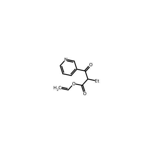 C=COC(=O)C(CC)C(=O)c1cccnc1